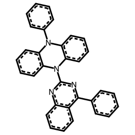 c1ccc(-c2nc(N3c4ccccc4N(c4ccccc4)c4ccccc43)nc3ccccc23)cc1